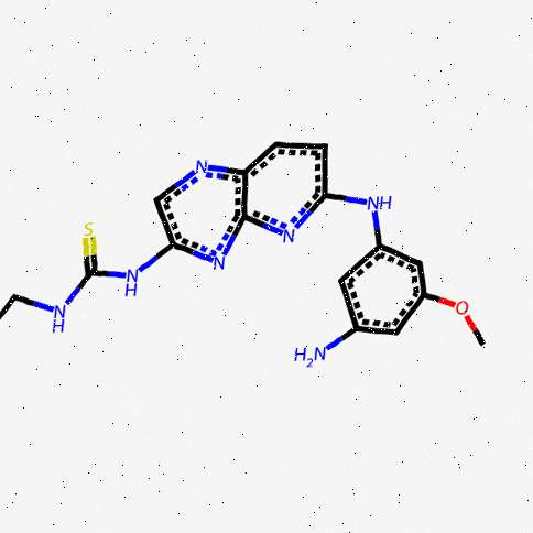 CCNC(=S)Nc1cnc2ccc(Nc3cc(N)cc(OC)c3)nc2n1